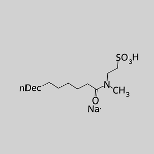 CCCCCCCCCCCCCCCC(=O)N(C)CCS(=O)(=O)O.[Na]